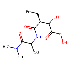 CC(C)C[C@H](C(=O)NC(C(=O)N(C)C)C(C)(C)C)C(O)C(=O)NO